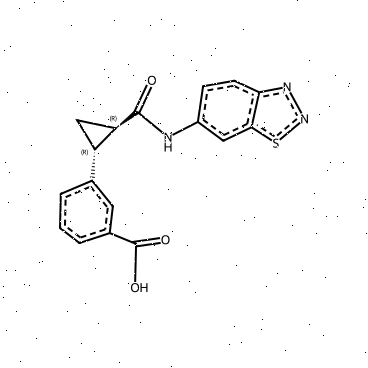 O=C(O)c1cccc([C@@H]2C[C@H]2C(=O)Nc2ccc3nnsc3c2)c1